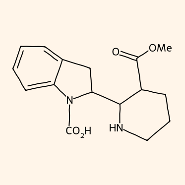 COC(=O)C1CCCNC1C1Cc2ccccc2N1C(=O)O